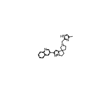 Cc1c[nH]c(CN2CCC3(CCn4nc(-c5cnc6ccccc6c5)cc43)C2)n1